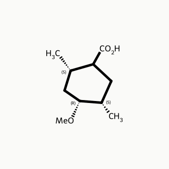 CO[C@@H]1C[C@H](C)C(C(=O)O)C[C@@H]1C